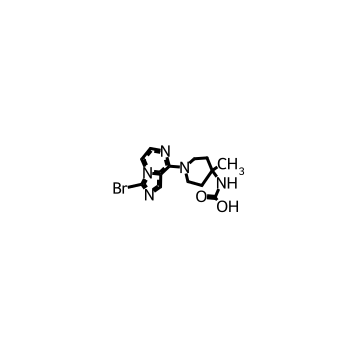 CC1(NC(=O)O)CCN(c2nccn3c(Br)ncc23)CC1